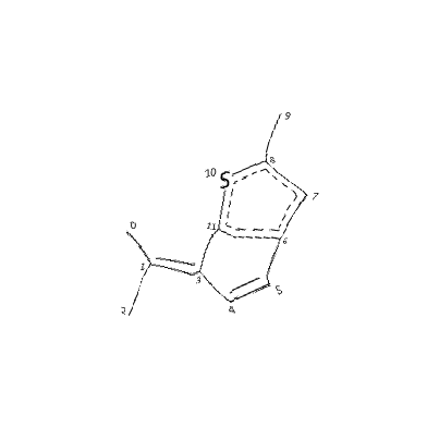 CC(C)=C1C=Cc2cc(C)sc21